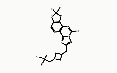 CC(F)(F)CN1CC(Cc2nc3c4ccc5c(c4nc(N)n3n2)OC(F)(F)O5)C1